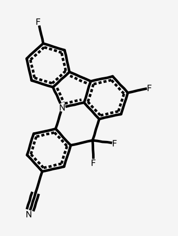 N#Cc1ccc2c(c1)C(F)(F)c1cc(F)cc3c4cc(F)ccc4n-2c13